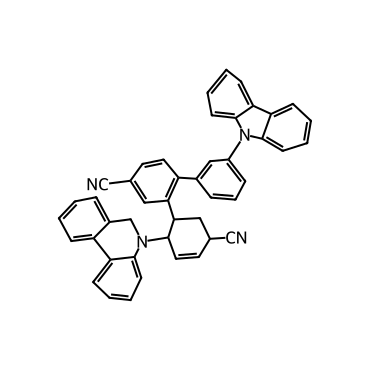 N#Cc1ccc(-c2cccc(-n3c4ccccc4c4ccccc43)c2)c(C2CC(C#N)C=CC2N2Cc3ccccc3-c3ccccc32)c1